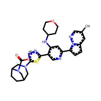 CC(C)(C)OC(=O)N1CC2CCC1CN(c1nnc(-c3cnc(-c4ccc5cc(C#N)cnn45)cc3NC3CCOCC3)s1)C2